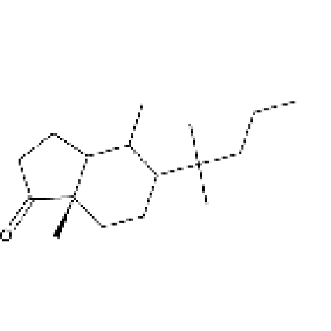 CCCC(C)(C)C1CC[C@]2(C)C(=O)CCC2C1C